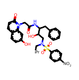 CC(C)CN(CC(O)C(Cc1ccccc1)NC(=O)Cn1c(=O)ccc2ccc(O)cc21)S(=O)(=O)c1ccc([N+](=O)[O-])cc1